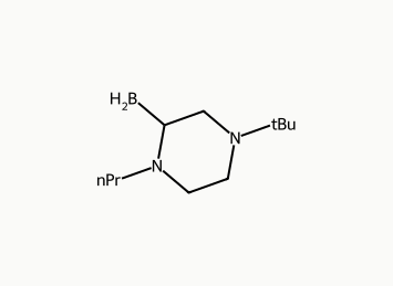 BC1CN(C(C)(C)C)CCN1CCC